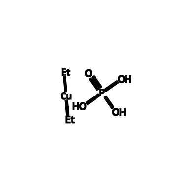 C[CH2][Cu][CH2]C.O=P(O)(O)O